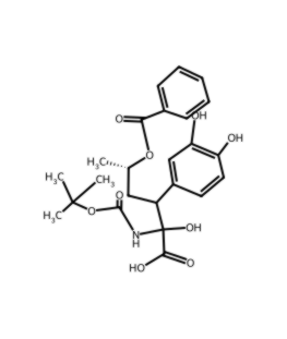 C[C@@H](CC(c1ccc(O)c(O)c1)C(O)(NC(=O)OC(C)(C)C)C(=O)O)OC(=O)c1ccccc1